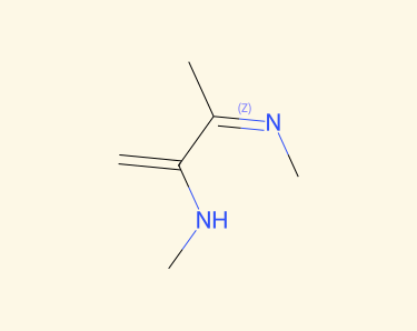 C=C(NC)/C(C)=N\C